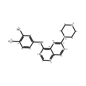 N#Cc1cc(Nc2ncnc3cnc(N4CCOCC4)nc23)ccc1N